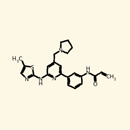 C=CC(=O)Nc1cccc(-c2cc(CN3CCCC3)cc(Nc3ncc(C)s3)n2)c1